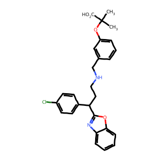 CC(C)(Oc1cccc(CNCCC(c2ccc(Cl)cc2)c2nc3ccccc3o2)c1)C(=O)O